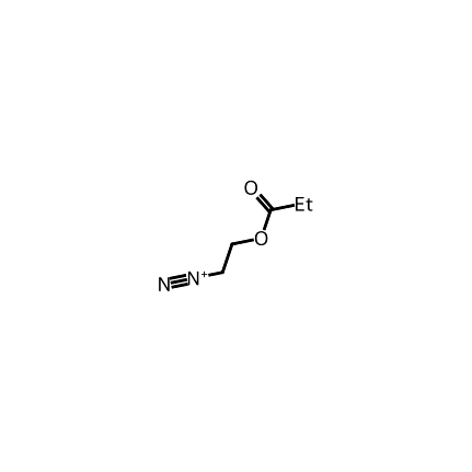 CCC(=O)OCC[N+]#N